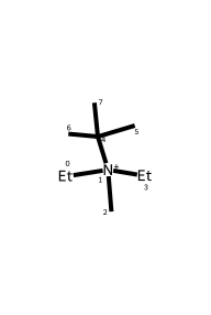 CC[N+](C)(CC)C(C)(C)C